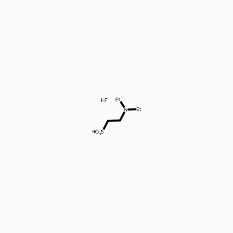 CCN(CC)CCS(=O)(=O)O.F